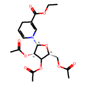 CCOC(=O)C1=CN([C@@H]2O[C@H](COC(C)=O)C(OC(C)=O)[C@@H]2OC(C)=O)C=CC1